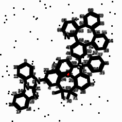 CC1(C)c2cc(-n3c4ccccc4n4c5ccccc5nc34)ccc2Oc2c(cccc2[Si](c2ccccc2)(c2ccccc2)c2ccc3c(c2)-c2ccccc2-c2ccccc2-c2cccnc2-3)C1(C)C